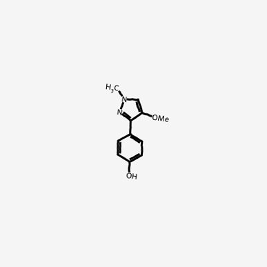 COc1cn(C)nc1-c1ccc(O)cc1